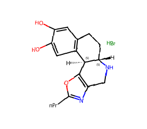 Br.CCCc1nc2c(o1)[C@H]1c3cc(O)c(O)cc3CC[C@@H]1NC2